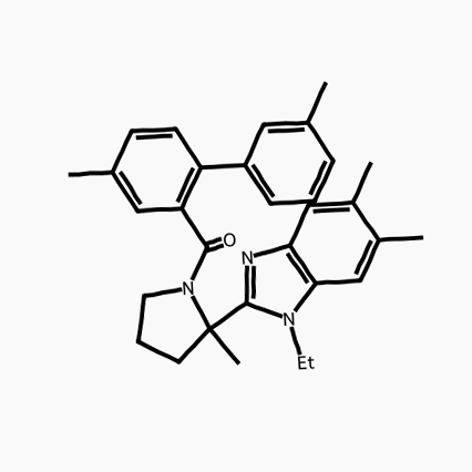 CCn1c(C2(C)CCCN2C(=O)c2cc(C)ccc2-c2cccc(C)c2)nc2cc(C)c(C)cc21